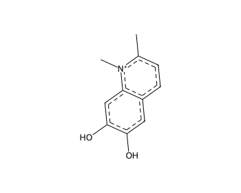 Cc1ccc2cc(O)c(O)cc2[n+]1C